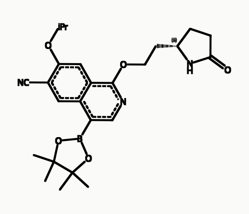 CC(C)Oc1cc2c(OCC[C@@H]3CCC(=O)N3)ncc(B3OC(C)(C)C(C)(C)O3)c2cc1C#N